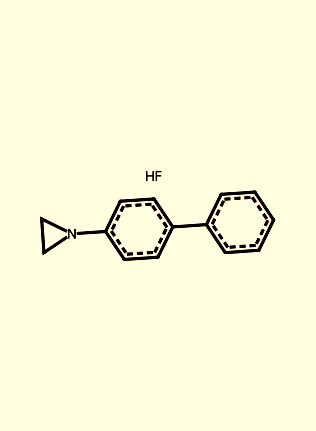 F.c1ccc(-c2ccc(N3CC3)cc2)cc1